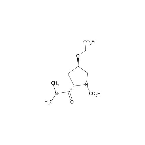 CCOC(=O)CO[C@@H]1C[C@@H](C(=O)N(C)C)N(C(=O)O)C1